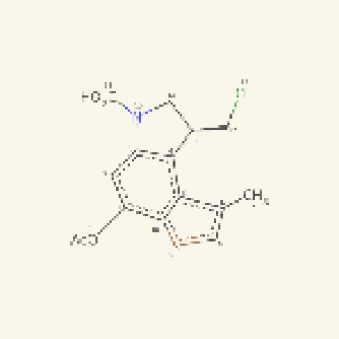 CC(=O)Oc1cc2c(c3c(C)csc13)[C@H](CCl)CN2C(=O)O